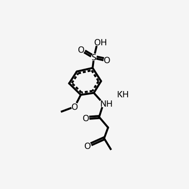 COc1ccc(S(=O)(=O)O)cc1NC(=O)CC(C)=O.[KH]